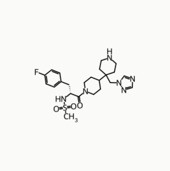 CS(=O)(=O)N[C@H](Cc1ccc(F)cc1)C(=O)N1CCC(C2(Cn3cncn3)CCNCC2)CC1